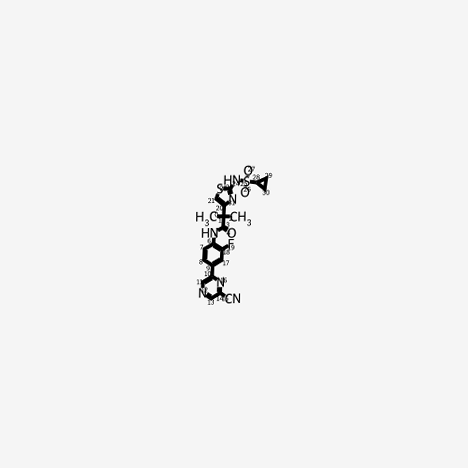 CC(C)(C(=O)Nc1ccc(-c2cncc(C#N)n2)cc1F)c1csc(NS(=O)(=O)C2CC2)n1